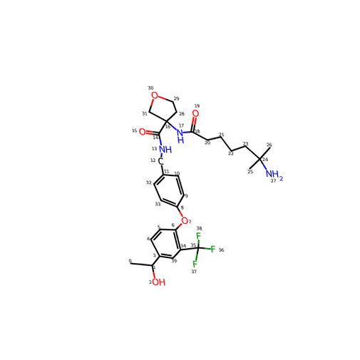 CC(O)c1ccc(Oc2ccc(CNC(=O)C3(NC(=O)CCCCC(C)(C)N)CCOC3)cc2)c(C(F)(F)F)c1